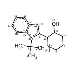 CC(C)(C)n1c(C2NCCCC2O)nc2ccccc21